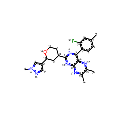 Cc1ccc(-c2nc(C3CCOC(c4cnn(C)c4)C3)nc3nc(C)c(C)nc23)c(F)c1